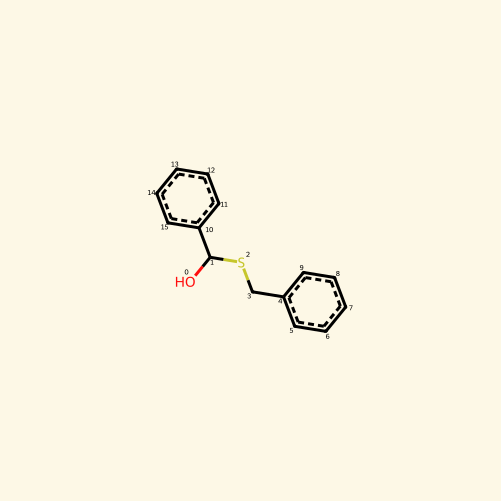 OC(SCc1ccccc1)c1ccccc1